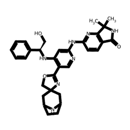 CC1(C)NC(=O)c2ccc(Nc3cc(N[C@H](CO)c4ccccc4)c(C4=NC5(CO4)CC4CCC(C5)N4)cn3)nc21